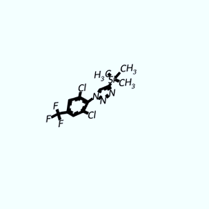 C[Si](C)(C)c1cn(-c2c(Cl)cc(C(F)(F)F)cc2Cl)nn1